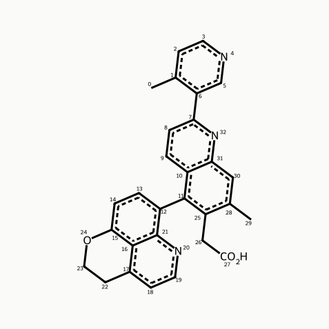 Cc1ccncc1-c1ccc2c(-c3ccc4c5c(ccnc35)CCO4)c(CC(=O)O)c(C)cc2n1